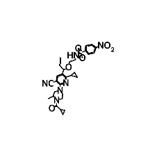 CC1CN(c2nc(C3CC3)c(C(CI)OCCNS(=O)(=O)c3ccc([N+](=O)[O-])cc3)cc2C#N)CCN1C(=O)C1CC1